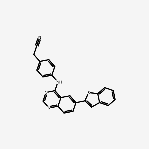 N#CCc1ccc(Nc2ncnc3ccc(-c4cc5ccccc5s4)cc23)cc1